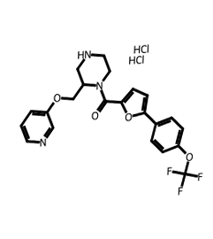 Cl.Cl.O=C(c1ccc(-c2ccc(OC(F)(F)F)cc2)o1)N1CCNCC1COc1cccnc1